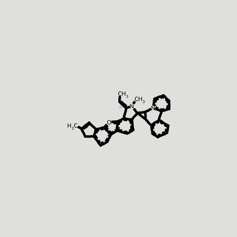 C/C=C1/c2c(ccc3c2oc2c4c(ccc23)CC(C)=C4)C2(C3c4ccccc4-c4cccc[n+]4C32)N1C